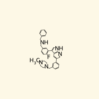 CN1CCN(Cc2cccc(-c3cnc4[nH]cc(-c5cc(CNCc6ccccc6)ccc5F)c4c3)c2)CC1